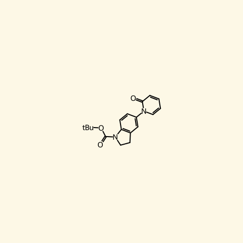 CC(C)(C)OC(=O)N1CCc2cc(-n3ccccc3=O)ccc21